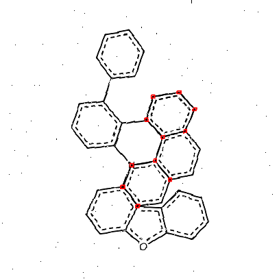 c1ccc(-c2ccccc2-c2c(-c3ccccc3)cccc2N(c2cccc3ccccc23)c2cccc3oc4ccccc4c23)cc1